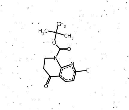 CC(C)(C)OC(=O)N1CCC(=O)c2ccc(Cl)nc21